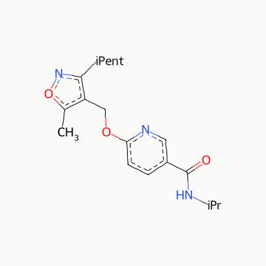 CCCC(C)c1noc(C)c1COc1ccc(C(=O)NC(C)C)cn1